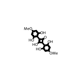 COc1cc(O)c(C2=C(O)C(c3c(O)cc(OC)cc3O)C2=O)c(O)c1